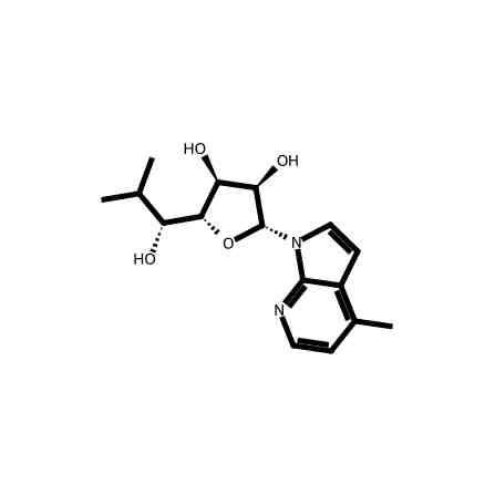 Cc1ccnc2c1ccn2[C@@H]1O[C@H]([C@H](O)C(C)C)[C@@H](O)[C@H]1O